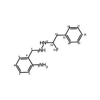 Nc1ccccc1CNNC(F)Cc1ccccc1